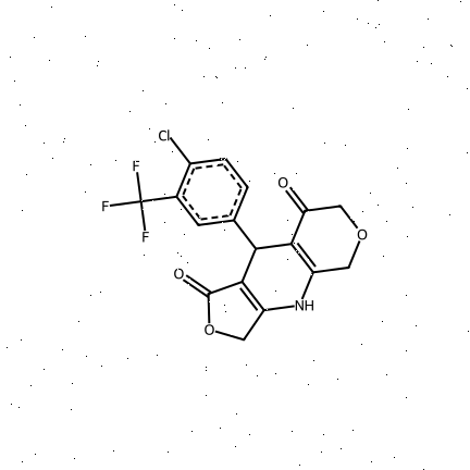 O=C1COCC2=C1C(c1ccc(Cl)c(C(F)(F)F)c1)C1=C(COC1=O)N2